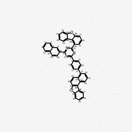 c1ccc2cc(-c3nc(-c4ccc(-c5cccc6c5ccc5oc7ccccc7c56)cc4)nc(-c4cccc5oc6ccccc6c45)n3)ccc2c1